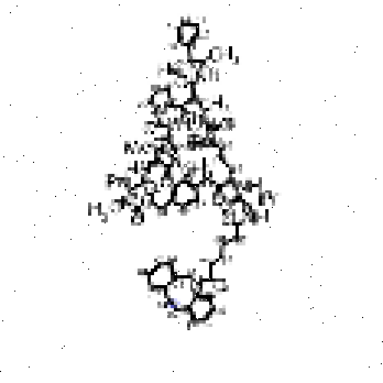 C=C([C@@H](C)C(=O)N[C@H](C)[C@@H](O)c1ccccc1)[C@@H]1CCCN1C(=O)C[C@@H](OC)C([C@@H](C)CC)N(C)C(=O)[C@@H](NC(=O)[C@H](C(C)C)N(C)C(=O)OCc1ccc(NC(=O)[C@H](CCCNC(N)=O)NC(=O)[C@@H](NC(=O)CCCCC(=O)N2Cc3ccccc3/C=C\c3ccccc32)C(C)C)cc1)C(C)C